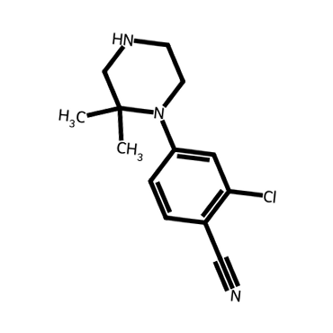 CC1(C)CNCCN1c1ccc(C#N)c(Cl)c1